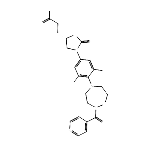 CC(=O)CC[C@H]1CN(c2cc(F)c(N3CCON(C(=S)c4ccncc4)CC3)c(F)c2)C(=O)O1